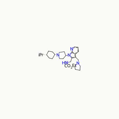 CCOC(=O)NCc1c(CN2CCCC2)c2cccnc2n1C1CCN([C@H]2CC[C@@H](C(C)C)CC2)CC1